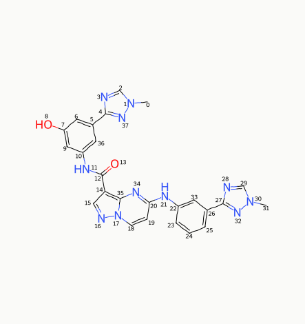 Cn1cnc(-c2cc(O)cc(NC(=O)c3cnn4ccc(Nc5cccc(-c6ncn(C)n6)c5)nc34)c2)n1